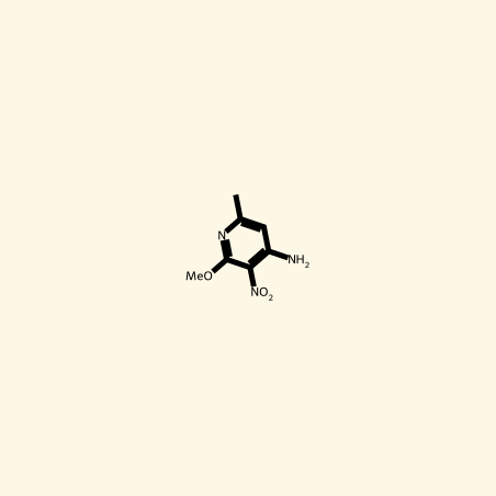 COc1nc(C)cc(N)c1[N+](=O)[O-]